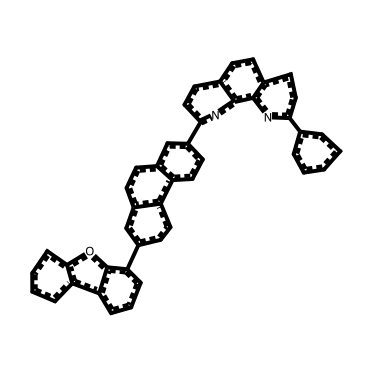 c1ccc(-c2ccc3ccc4ccc(-c5ccc6c(ccc7cc(-c8cccc9c8oc8ccccc89)ccc76)c5)nc4c3n2)cc1